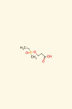 CCP(C)(=O)OCCC(=O)O